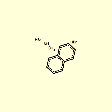 B.Br.Br.N.c1ccc2ccccc2c1